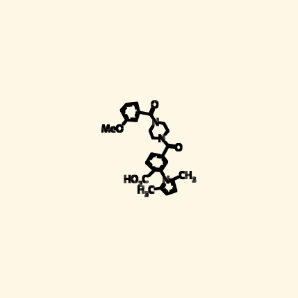 COc1cccc(C(=O)N2CCN(C(=O)c3ccc(C(=O)O)c(-n4c(C)ccc4C)c3)CC2)c1